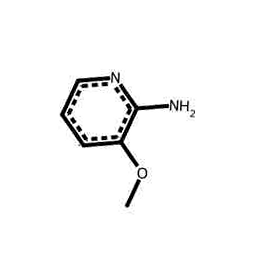 COc1[c]ccnc1N